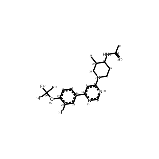 CC(=O)NC1CCN(c2cc(-c3ccc(OC(F)(F)F)c(F)c3)ncn2)CC1C